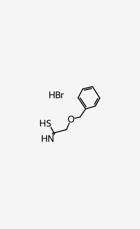 Br.N=C(S)COCc1ccccc1